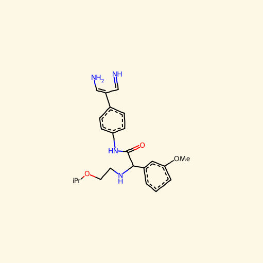 COc1cccc(C(NCCOC(C)C)C(=O)Nc2ccc(/C(C=N)=C/N)cc2)c1